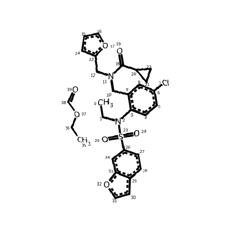 CCN(c1ccc(Cl)cc1CN(Cc1ccco1)C(=O)C1CC1)S(=O)(=O)c1ccc2ccoc2c1.CCOC=O